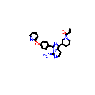 C=CC(=O)N1CCCC(c2nc(-c3ccc(Oc4ccccn4)cc3)n3c(N)nccc23)C1